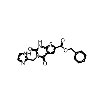 O=C(OCc1ccccc1)c1cc2c(=O)n(Cc3ncc[nH]3)c(=O)[nH]c2s1